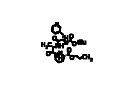 C=CCOC(=O)[C@@H]1CCCN(C(=O)[C@H](C)NC(=O)[C@H](Cc2cccnc2)NC(=O)OC(C)(C)C)N1